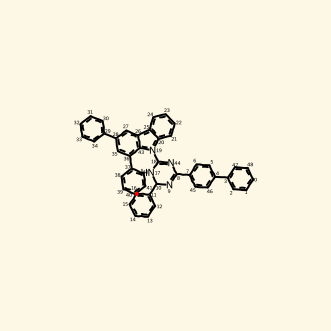 c1ccc(-c2ccc(C3=NC(c4ccccc4)NC(n4c5ccccc5c5cc(-c6ccccc6)cc(-c6ccccc6)c54)=N3)cc2)cc1